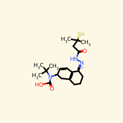 CC(C)(S)CC(=O)N/N=C1/CCCC2=C1C=CC(N(C(=O)O)C(C)(C)C)C2